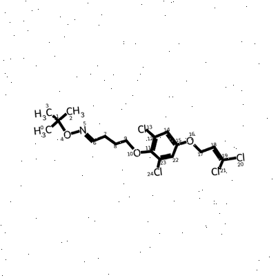 CC(C)(C)ON=CCCCOc1c(Cl)cc(OCC=C(Cl)Cl)cc1Cl